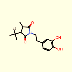 CCC(C)(C)C1C(=O)N(CCc2ccc(O)c(O)c2)C(=O)C1C